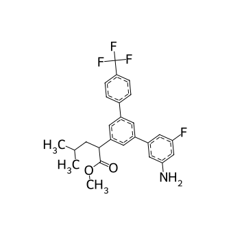 COC(=O)C(CC(C)C)c1cc(-c2ccc(C(F)(F)F)cc2)cc(-c2cc(N)cc(F)c2)c1